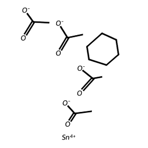 C1CCCCC1.CC(=O)[O-].CC(=O)[O-].CC(=O)[O-].CC(=O)[O-].[Sn+4]